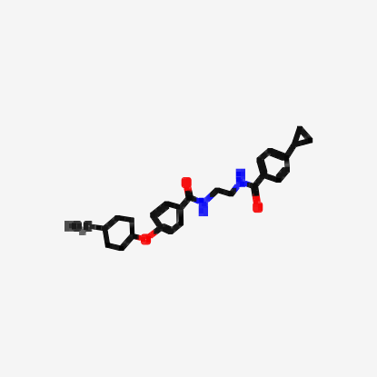 O=C(NCCNC(=O)c1ccc(C2CC2)cc1)c1ccc(OC2CCC(C(=O)O)CC2)cc1